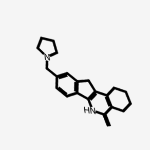 C=C1NC2=C(Cc3cc(CN4CCCC4)ccc32)C2=C1CCCC2